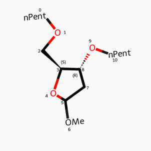 CCCCCOC[C@@H]1OC(OC)C[C@H]1OCCCCC